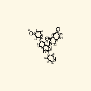 COc1cccc(-c2ccc3nc(-c4cccnc4)nc(N4Cc5ccc(Cl)cc5C4=O)c3c2)c1